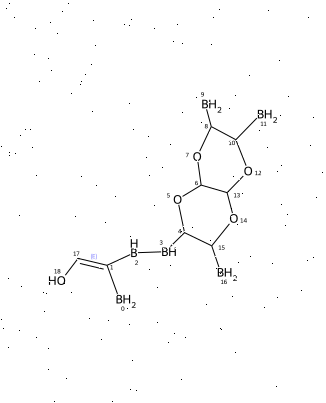 B/C(BBC1OC2OC(B)C(B)OC2OC1B)=C\O